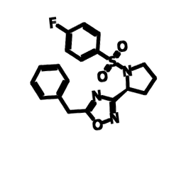 O=S(=O)(c1ccc(F)cc1)N1CCC[C@H]1c1noc(Cc2ccccc2)n1